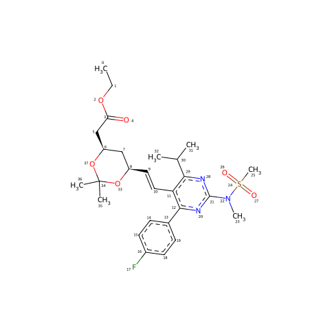 CCOC(=O)C[C@H]1C[C@@H](C=Cc2c(-c3ccc(F)cc3)nc(N(C)S(C)(=O)=O)nc2C(C)C)OC(C)(C)O1